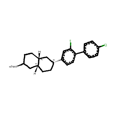 CCCCCC1CC[C@@H]2C[C@H](c3ccc(-c4ccc(Cl)cc4)c(F)c3)CC[C@@H]2C1